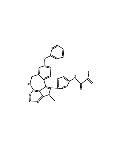 C=C(F)C(=O)Nc1ccc(-c2c3c4c(ncnc4n2C)NCc2cc(Oc4ccccn4)ccc2-3)cc1